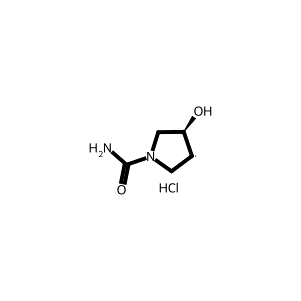 Cl.NC(=O)N1C[CH][C@H](O)C1